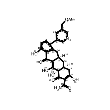 COCc1cncc(-c2ccc(O)c3c2C[C@H]2C[C@H]4CC(O)=C(C(N)=O)C(=O)[C@@]4(O)C(O)=C2C3=O)c1